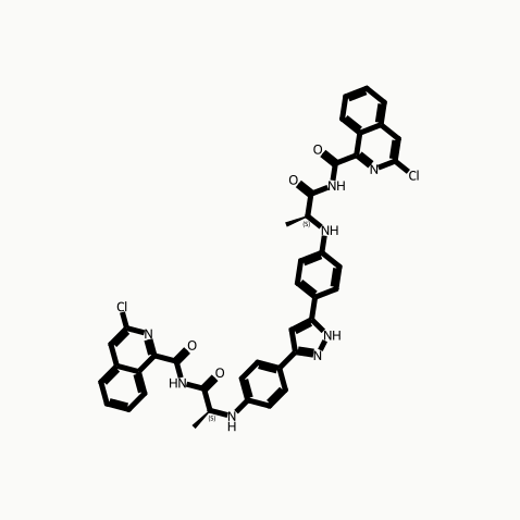 C[C@H](Nc1ccc(-c2cc(-c3ccc(N[C@@H](C)C(=O)NC(=O)c4nc(Cl)cc5ccccc45)cc3)[nH]n2)cc1)C(=O)NC(=O)c1nc(Cl)cc2ccccc12